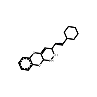 C1=C2Oc3ccccc3OC2NNC1/C=C/C1CCCCC1